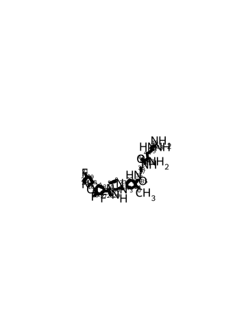 CCc1cc(Nc2nccn3c(-c4ccc(Oc5ccc(F)cn5)c(F)c4F)cnc23)ccc1C(=O)NCCNC(=O)C(N)CCNC(=N)N